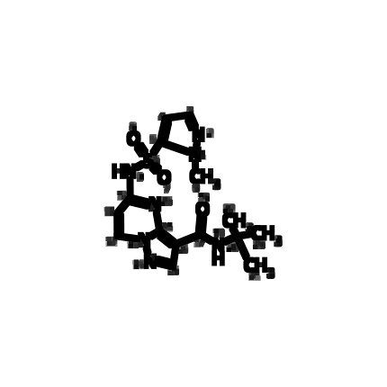 Cn1nccc1S(=O)(=O)Nc1ccn2ncc(C(=O)NC(C)(C)C)c2n1